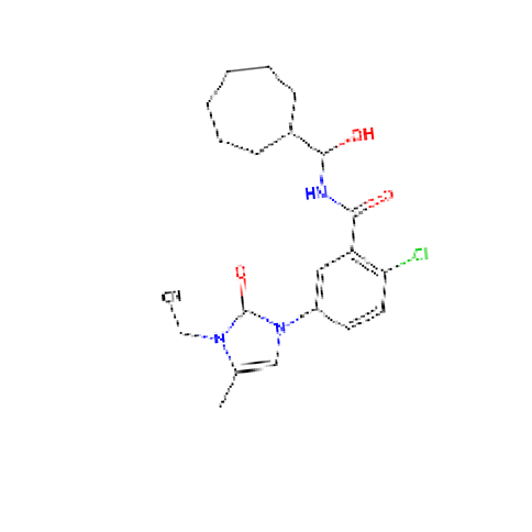 Cc1cn(-c2ccc(Cl)c(C(=O)NC(O)C3CCCCCC3)c2)c(=O)n1CC#N